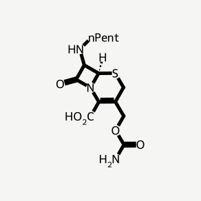 CCCCCNC1C(=O)N2C(C(=O)O)=C(COC(N)=O)CS[C@H]12